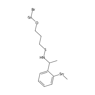 [CH3][Sn][c]1ccccc1C(C)NSCCC[O][Sn][Br]